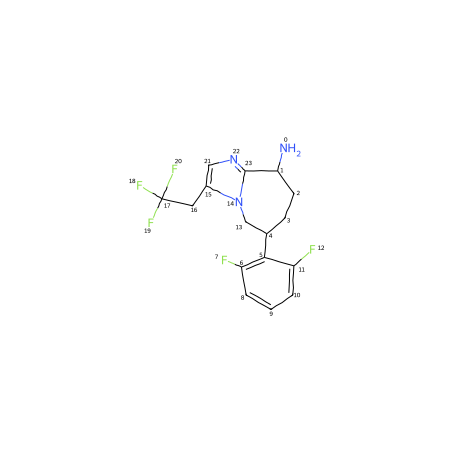 NC1CCC(c2c(F)cccc2F)Cn2c(CC(F)(F)F)cnc21